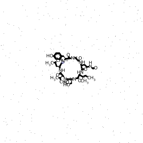 CC[C@H](C)[C@@H]1NC(=O)C(CCNC=O)NC(=O)CNC(=O)[C@H](Cc2ccc(O)cc2)/N=C\[C@H](CC(C)C)NC(=O)[C@H](C(C)C)NC(=O)[C@H](CO)NC1=O